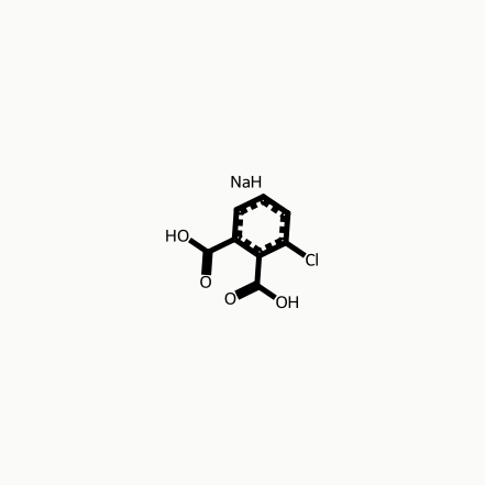 O=C(O)c1cccc(Cl)c1C(=O)O.[NaH]